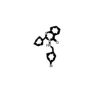 O=c1c2ccccc2nc(-c2ccccc2)n1NCc1ccc(Br)cc1